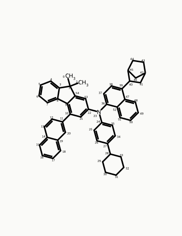 CC1(C)c2ccccc2-c2c(-c3ccc4ccccc4c3)cc(N(c3ccc(C4CCCCC4)cc3)c3ccc(C4CC5CCC4C5)c4ccccc34)cc21